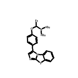 CCCCN(CCCC)C(CC)Oc1ccc(-c2cnc3sc4ccccc4n23)cc1